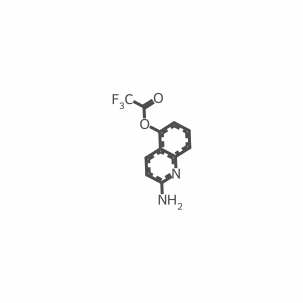 Nc1ccc2c(OC(=O)C(F)(F)F)cccc2n1